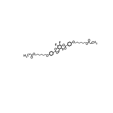 C=CC(=O)OCCCCCCOc1ccc(C(=O)Oc2c(F)c(F)c(OC(=O)c3ccc(OCCCCCCOC(=O)C=C)cc3)c(F)c2F)cc1